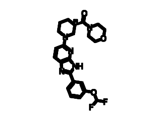 O=C([C@@H]1CCCN(c2ccc3nc(-c4cccc(OC(F)F)c4)[nH]c3n2)C1)N1CCOCC1